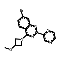 COC1CN(c2nc(-c3cnccn3)nc3cc(Br)ccc23)C1